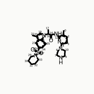 Cc1ccc(N2CCNCC2)nc1NC(=O)C(C)n1cc(C)c2cc(S(=O)(=O)N3CCCCC3)ccc21